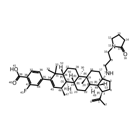 C=C(C)[C@@H]1CC[C@]2(NCCCN3CCCC3=O)CC[C@]3(C)[C@H](CC[C@@H]4[C@@H]5[C@@H](CC[C@]43C)C(C)(C)C(c3ccc(C(=O)O)c(F)c3)=C[C@@H]5C)[C@@H]12